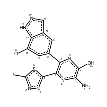 Cc1nnc(-c2nc(N)c(O)nc2-c2cc(Cl)c3[nH]ncc3c2)s1